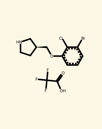 Clc1c(Br)cccc1OC[C@H]1CCNC1.O=C(O)C(F)(F)F